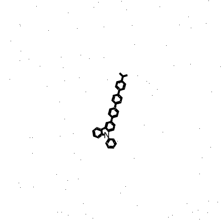 CC(C)c1ccc(-c2ccc(-c3ccc(-c4ccc5c(c4)c4ccccc4n5-c4ccccc4)cc3)cc2)cc1